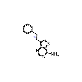 Nc1ncnc2c(/C=C/c3ccccc3)csc12